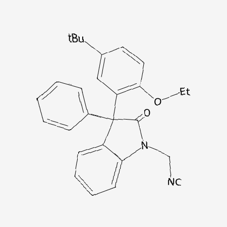 [C-]#[N+]CN1C(=O)C(c2ccccc2)(c2cc(C(C)(C)C)ccc2OCC)c2ccccc21